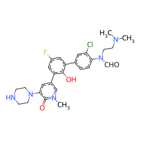 CN(C)CCN(C=O)c1ccc(-c2cc(F)cc(-c3cc(N4CCNCC4)c(=O)n(C)c3)c2O)cc1Cl